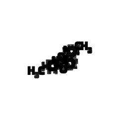 CCc1ccc(C(=O)NC2(C(=O)c3ccc(C)cn3)CCCCC2)cc1